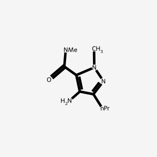 CCCc1nn(C)c(C(=O)NC)c1N